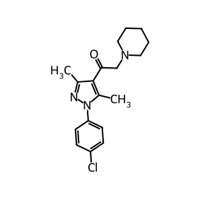 Cc1nn(-c2ccc(Cl)cc2)c(C)c1C(=O)CN1CCCCC1